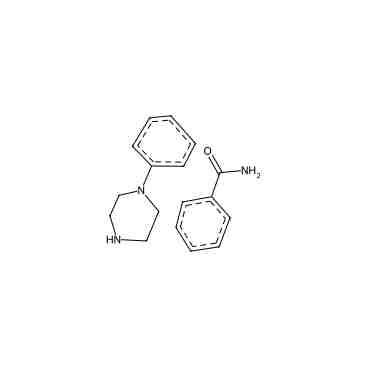 NC(=O)c1ccccc1.c1ccc(N2CCNCC2)cc1